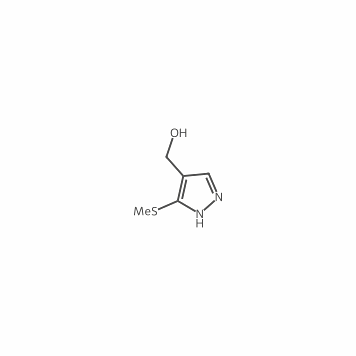 CSc1[nH]ncc1CO